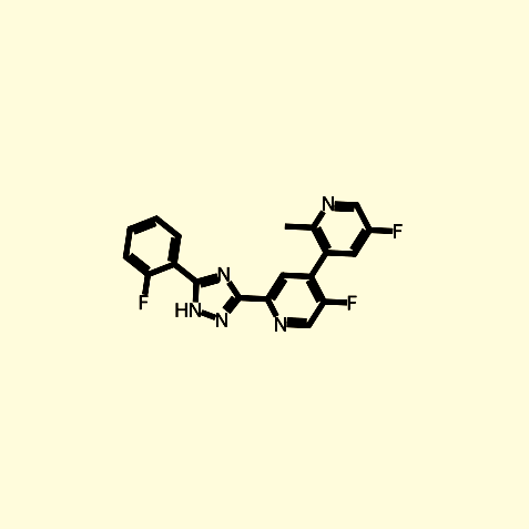 Cc1ncc(F)cc1-c1cc(-c2n[nH]c(-c3ccccc3F)n2)ncc1F